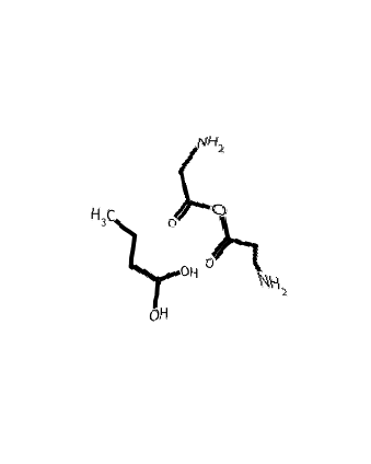 CCCC(O)O.NCC(=O)OC(=O)CN